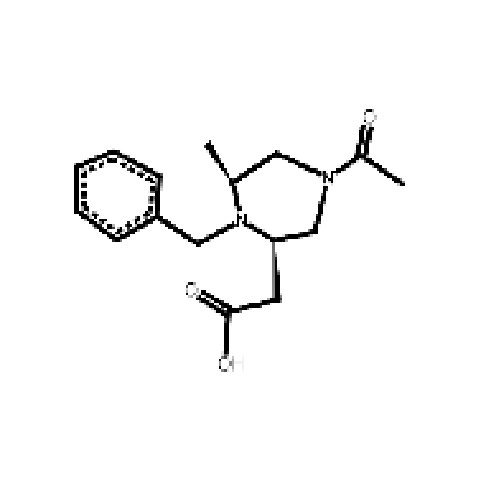 CC(=O)N1C[C@@H](CC(=O)O)N(Cc2ccccc2)[C@@H](C)C1